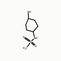 CS(=O)(=O)NC1CCC([NH])CC1